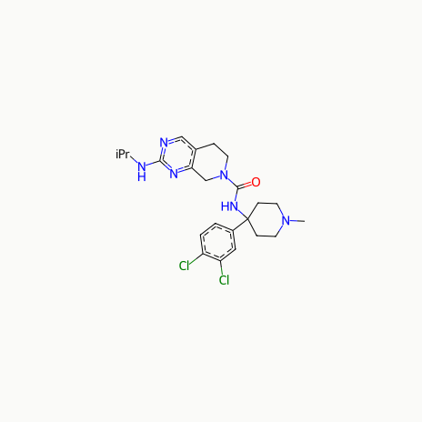 CC(C)Nc1ncc2c(n1)CN(C(=O)NC1(c3ccc(Cl)c(Cl)c3)CCN(C)CC1)CC2